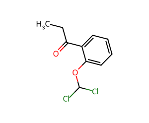 CCC(=O)c1ccccc1OC(Cl)Cl